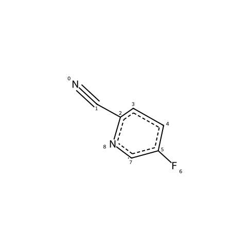 N#Cc1ccc(F)[c]n1